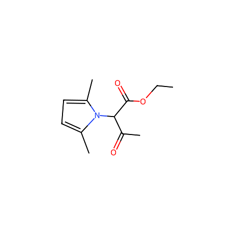 CCOC(=O)C(C(C)=O)n1c(C)ccc1C